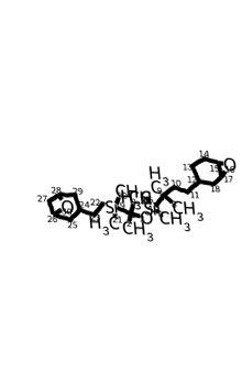 CC(C)(O[Si](C)(C)C(C)(C)CCC1CCC2OC2C1)[Si](C)(C)CCC1CC2CC(C1)O2